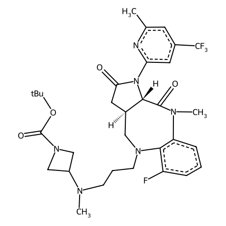 Cc1cc(C(F)(F)F)cc(N2C(=O)C[C@@H]3CN(CCCN(C)C4CN(C(=O)OC(C)(C)C)C4)c4c(F)cccc4N(C)C(=O)[C@H]32)n1